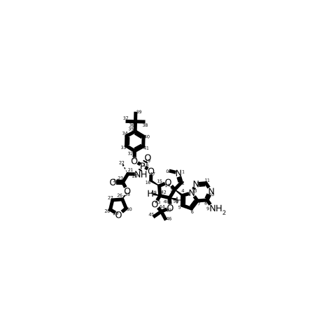 C/N=C\[C@@]1(c2ccc3c(N)ncnn23)O[C@H](COP(=O)(N[C@@H](C)C(=O)O[C@H]2CCOC2)Oc2ccc(C(C)(C)C)cc2)[C@H]2OC(C)(C)O[C@H]21